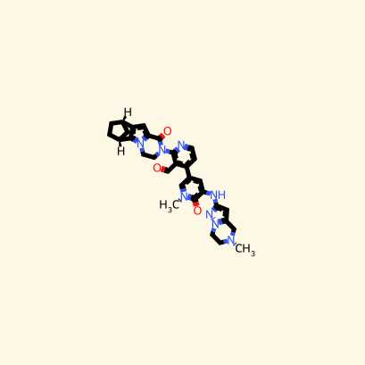 CN1CCn2nc(Nc3cc(-c4ccnc(N5CCn6c(cc7c6[C@@H]6CC[C@H]7C6)C5=O)c4C=O)cn(C)c3=O)cc2C1